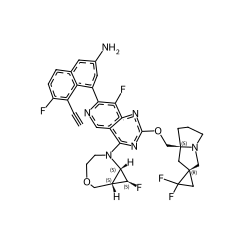 C#Cc1c(F)ccc2cc(N)cc(-c3ncc4c(N5CCOC[C@H]6[C@H](F)[C@H]65)nc(OC[C@@]56CCCN5C[C@]5(CC5(F)F)C6)nc4c3F)c12